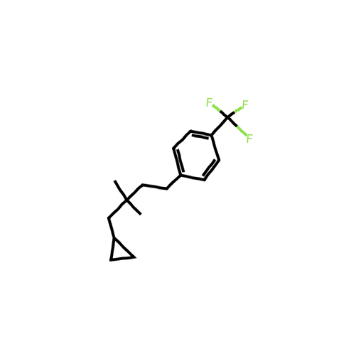 CC(C)(CCc1ccc(C(F)(F)F)cc1)CC1CC1